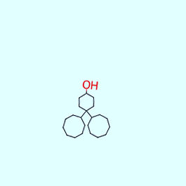 OC1CCC(C2CCCCCCC2)(C2CCCCCCC2)CC1